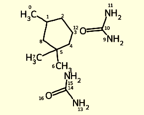 CC1CCCC(C)(C)C1.NC(N)=O.NC(N)=O